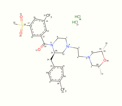 C[C@@H]1CN(CCN2CCN(C(=O)c3cc(C(F)(F)F)cc(S(C)(=O)=O)c3)[C@H](Cc3ccc(C(F)(F)F)cc3)C2)C[C@H](C)O1.Cl.Cl